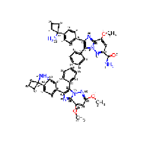 COc1cc(C(N)=O)nn2c(-c3ccccc3)c(-c3ccc(C4(N)CCC4)cc3)nc12.COc1cc(OC)c2nc(-c3ccc(C4(N)CCC4)cc3)c(-c3ccccc3)n2n1